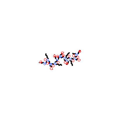 CCCCCN(CC(=O)N(CCOC)CC(=O)N(CCCCC)CC(=O)N(CCOC)CC(=O)N(CCOC)CC(=O)N(CCCCC)CC(=O)N(CCOC)CC(=O)N(CCCCC)CC(=O)N(CCOC)CC(=O)N(CCOC)CC(C)=O)C(=O)CN(C)CCOC